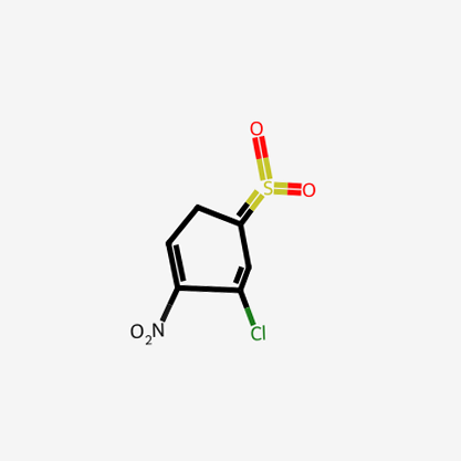 O=[N+]([O-])C1=CCC(=S(=O)=O)C=C1Cl